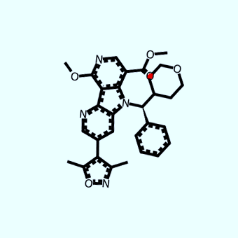 COC(=O)c1cnc(OC)c2c3ncc(-c4c(C)noc4C)cc3n([C@H](c3ccccc3)C3CCOCC3)c12